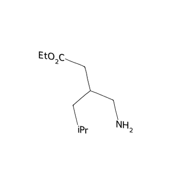 CCOC(=O)CC(CN)CC(C)C